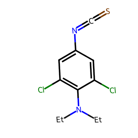 CCN(CC)c1c(Cl)cc(N=C=S)cc1Cl